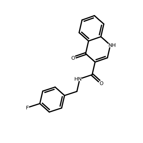 O=C(NCc1ccc(F)cc1)c1c[nH]c2ccccc2c1=O